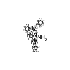 Nc1nc2c(cnn2[C@H](C(=O)NCCc2ccccc2)c2ccccc2)c2nc(-c3ccco3)nn12